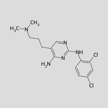 CN(C)CCCc1cnc(Nc2ccc(Cl)cc2Cl)nc1N